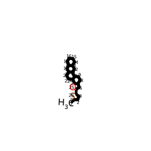 Cc1ccc(-c2cc3ccc4c5cc6ccccc6cc5ccc4c3o2)s1